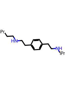 CC(C)CCNCCc1ccc(CCNC(C)C)cc1